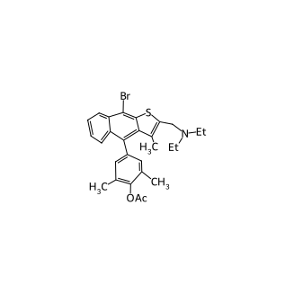 CCN(CC)Cc1sc2c(Br)c3ccccc3c(-c3cc(C)c(OC(C)=O)c(C)c3)c2c1C